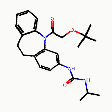 CC(C)NC(=O)Nc1ccc2c(c1)N(C(=O)COC(C)(C)C)c1ccccc1CC2